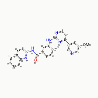 COc1cncc(-c2ccnc(Nc3cc(C(=O)Nc4ccc5ccccc5n4)ccc3C)n2)c1